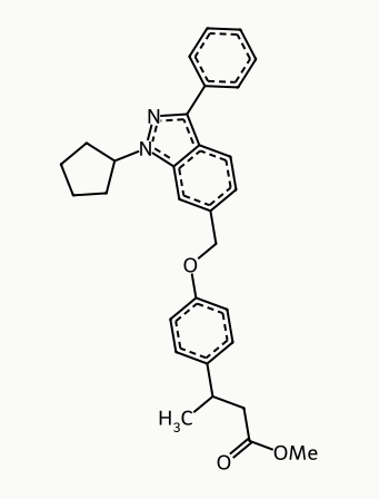 COC(=O)CC(C)c1ccc(OCc2ccc3c(-c4ccccc4)nn(C4CCCC4)c3c2)cc1